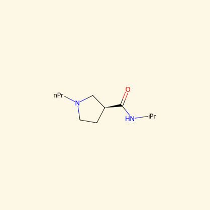 CCCN1CC[C@H](C(=O)NC(C)C)C1